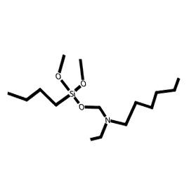 CCCCCCN(CC)CO[Si](CCCC)(OC)OC